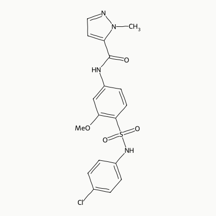 COc1cc(NC(=O)c2ccnn2C)ccc1S(=O)(=O)Nc1ccc(Cl)cc1